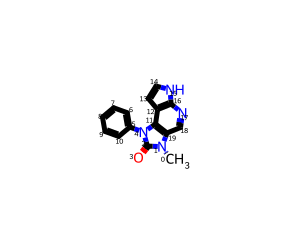 Cn1c(=O)n(-c2ccccc2)c2c3cc[nH]c3ncc21